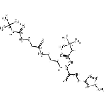 Cn1nnc(CNC(=O)[C@H](CCCCNC(=O)CONC(=O)OC(C)(C)C)NC(=O)C[N+](C)(C)C)n1